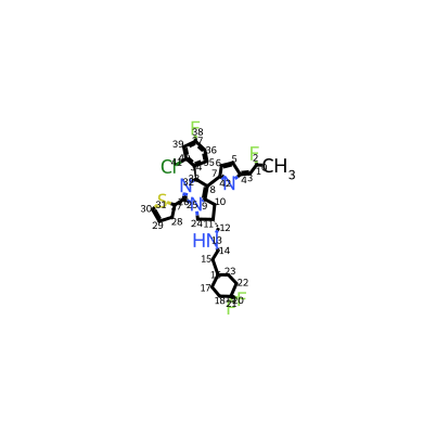 CC(F)/C=C1\C=CC(C2=C3C[C@H](CNCCC4CCC(F)(F)CC4)CN3C(C3CC=CS3)=N[C@H]2c2ccc(F)cc2Cl)=N1